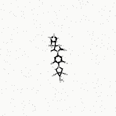 CC1N(c2cc(F)c(N3C[C@@H]4[C@@H](N)[C@@H]4C3)c(F)c2)C(=O)O[C@]12Nc1nocc12